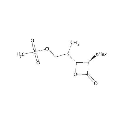 CCCCCC[C@H]1C(=O)O[C@@H]1C(C)COS(C)(=O)=O